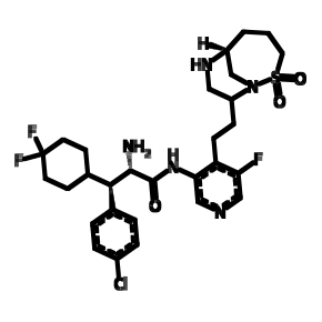 N[C@H](C(=O)Nc1cncc(F)c1CCC1CN[C@@H]2CCCS(=O)(=O)N1C2)[C@@H](c1ccc(Cl)cc1)C1CCC(F)(F)CC1